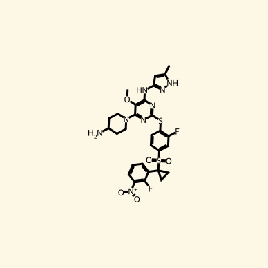 COc1c(Nc2cc(C)[nH]n2)nc(Sc2ccc(S(=O)(=O)C3(c4cccc([N+](=O)[O-])c4F)CC3)cc2F)nc1N1CCC(N)CC1